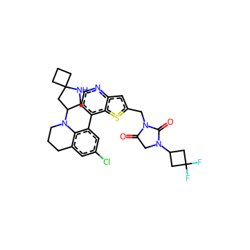 O=C1CN(C2CC(F)(F)C2)C(=O)N1Cc1cc2nccc(-c3cc(Cl)cc4c3N(C3CNC5(CCC5)C3)CCC4)c2s1